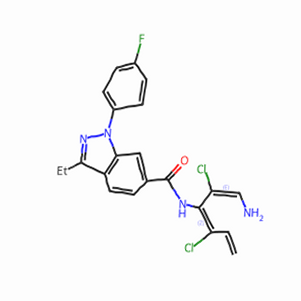 C=C/C(Cl)=C(NC(=O)c1ccc2c(CC)nn(-c3ccc(F)cc3)c2c1)\C(Cl)=C/N